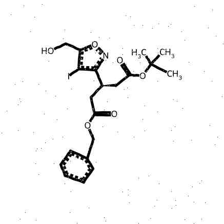 CC(C)(C)OC(=O)C[C@@H](CC(=O)OCc1ccccc1)c1noc(CO)c1I